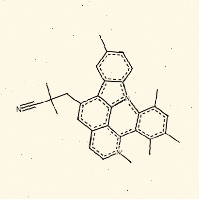 Cc1ccc2c(c1)c1c(CC(C)(C)C#N)cc3cc[n+](C)c4c5c(C)c(C)cc(C)c5n2c1c34